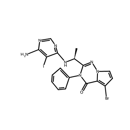 C[C@H](Nc1ncnc(N)c1I)c1nn2ccc(Br)c2c(=O)n1-c1ccccc1